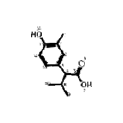 Cc1cc(C(C(=O)O)C(C)C)ccc1O